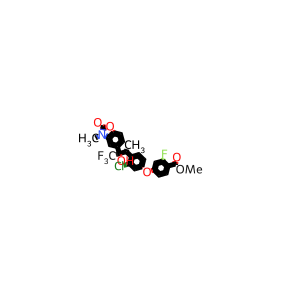 COC(=O)c1ccc(Oc2ccc(C(C)C(O)(c3ccc4oc(=O)n(C)c4c3)C(F)(F)F)c(Cl)c2)cc1F